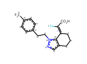 O=C(O)/C(F)=C1\CCCc2cnn(CCc3ccc(C(F)(F)F)cc3)c21